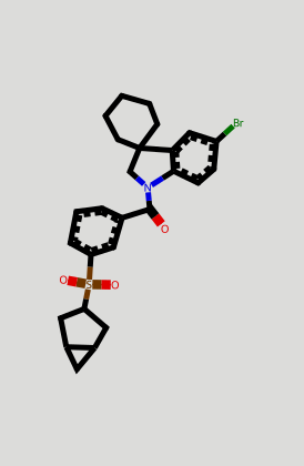 O=C(c1cccc(S(=O)(=O)C2CC3CC3C2)c1)N1CC2(CCCCC2)c2cc(Br)ccc21